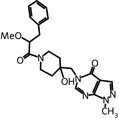 COC(Cc1ccccc1)C(=O)N1CCC(O)(Cn2cnc3c(cnn3C)c2=O)CC1